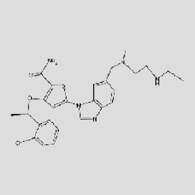 CCNCCN(C)Cc1ccc2ncn(-c3cc(O[C@H](C)c4ccccc4Cl)c(C(N)=O)s3)c2c1